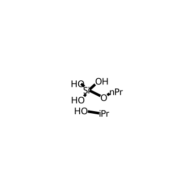 CC(C)O.CCCO[Si](O)(O)O